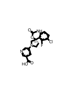 O=C1Nc2ccc(Cl)c(F)c2[C@]2(CCN(c3cncc(C(=O)O)c3)C2)O1